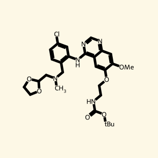 COc1cc2ncnc(Nc3cc(Cl)ccc3CN(C)CC3OCCO3)c2cc1OCCNC(=O)OC(C)(C)C